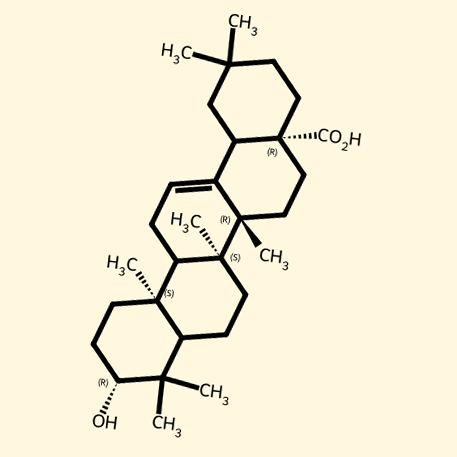 CC1(C)CC[C@@]2(C(=O)O)CC[C@@]3(C)C(=CCC4[C@]5(C)CC[C@@H](O)C(C)(C)C5CC[C@@]43C)C2C1